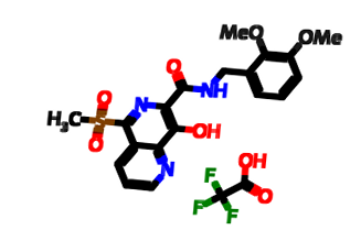 COc1cccc(CNC(=O)c2nc(S(C)(=O)=O)c3cccnc3c2O)c1OC.O=C(O)C(F)(F)F